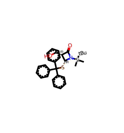 CC(C)(C)[Si](C)(C)N1C(=O)[C@H](CO)[C@H]1SC(c1ccccc1)(c1ccccc1)c1ccccc1